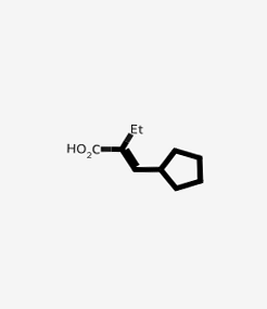 CC/C(=C\C1CCCC1)C(=O)O